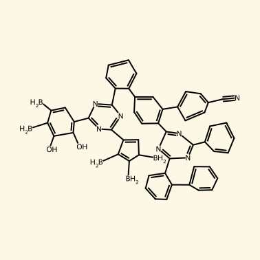 BC1=C(B)C(B)C=C1c1nc(-c2ccccc2-c2ccc(-c3nc(-c4ccccc4)nc(-c4ccccc4-c4ccccc4)n3)c(-c3ccc(C#N)cc3)c2)nc(-c2cc(B)c(B)c(O)c2O)n1